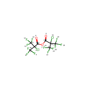 O=C(OC(=O)C(Cl)(C(F)(F)F)C(F)(F)F)C(Cl)(C(F)(F)F)C(F)(F)F